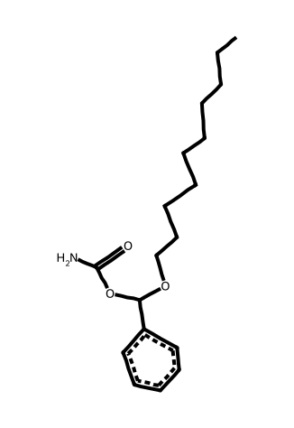 CCCCCCCCCCOC(OC(N)=O)c1ccccc1